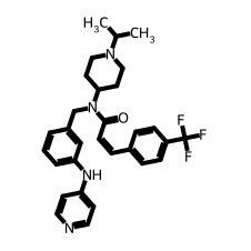 CC(C)N1CCC(N(Cc2cccc(Nc3ccncc3)c2)C(=O)C=Cc2ccc(C(F)(F)F)cc2)CC1